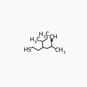 C#CC(C)CC(CCS)C(C)CC